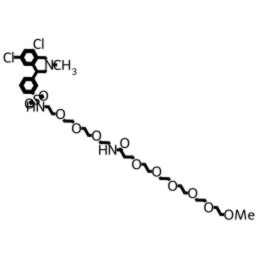 COCCOCCOCCOCCOCCOCCC(=O)NCCOCCOCCOCCNS(=O)(=O)c1cccc(C2CN(C)Cc3c(Cl)cc(Cl)cc32)c1